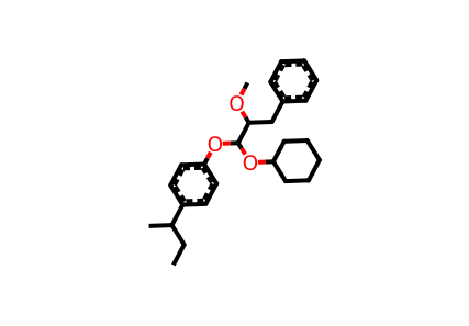 CCC(C)c1ccc(OC(OC2CCCCC2)C(Cc2ccccc2)OC)cc1